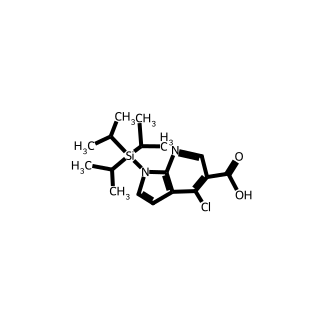 CC(C)[Si](C(C)C)(C(C)C)n1ccc2c(Cl)c(C(=O)O)cnc21